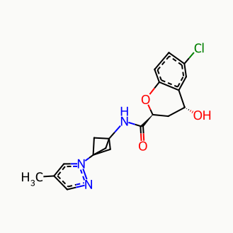 Cc1cnn(C23CC(NC(=O)[C@@H]4C[C@@H](O)c5cc(Cl)ccc5O4)(C2)C3)c1